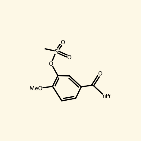 CCCC(=O)c1ccc(OC)c(OS(C)(=O)=O)c1